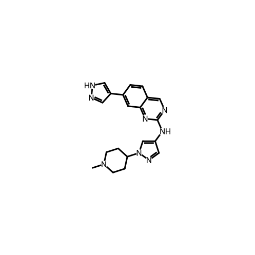 CN1CCC(n2cc(Nc3ncc4ccc(-c5cn[nH]c5)cc4n3)cn2)CC1